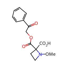 CON1CCC1(C(=O)O)C(=O)OCC(=O)c1ccccc1